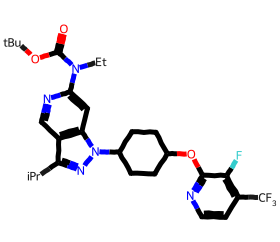 CCN(C(=O)OC(C)(C)C)c1cc2c(cn1)c(C(C)C)nn2C1CCC(Oc2nccc(C(F)(F)F)c2F)CC1